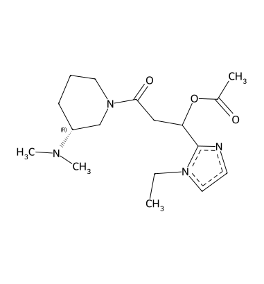 CCn1ccnc1C(CC(=O)N1CCC[C@@H](N(C)C)C1)OC(C)=O